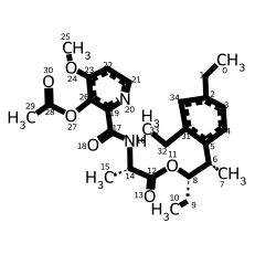 CCc1ccc([C@H](C)[C@H](CC)OC(=O)[C@H](C)NC(=O)c2nccc(OC)c2OC(C)=O)c(CC)c1